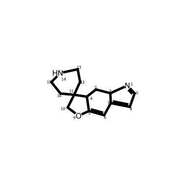 C1=NC2CC3C(=CC2=C1)OCC31CCNCC1